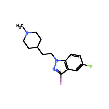 CN1CCC(CCn2nc(I)c3cc(F)ccc32)CC1